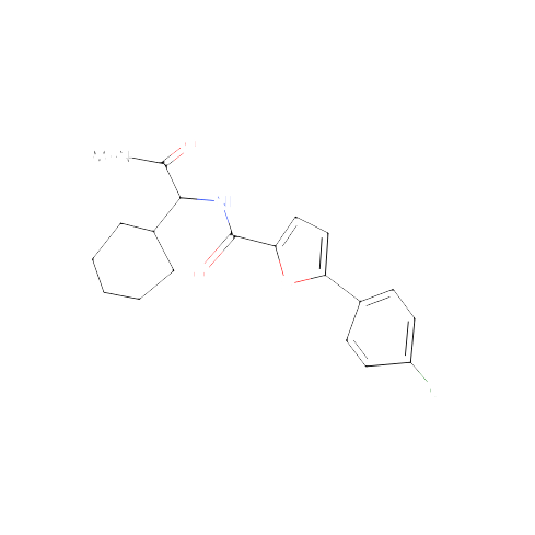 CNC(=O)C(NC(=O)c1ccc(-c2ccc(Cl)cc2)o1)C1CCCCC1